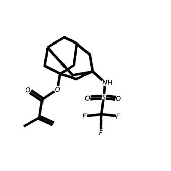 C=C(C)C(=O)OC12CC3CC(CC(NS(=O)(=O)C(F)(F)F)(C3)C1)C2